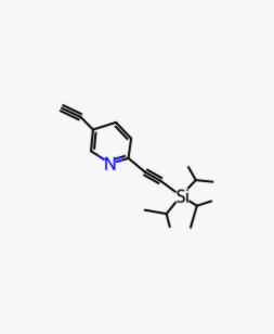 C#Cc1ccc(C#C[Si](C(C)C)(C(C)C)C(C)C)nc1